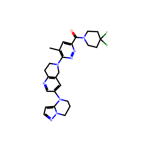 Cc1cc(C(=O)N2CCC(F)(F)CC2)nnc1N1CCc2ncc(N3CCCn4nccc43)cc2C1